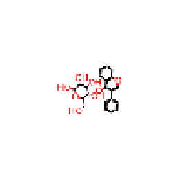 O=c1c(-c2ccccc2)coc2ccccc12.OC[C@H]1OC(O)[C@H](O)[C@@H](O)[C@@H]1O